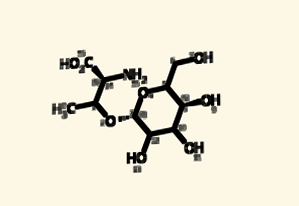 CC(O[C@@H]1OC(CO)[C@@H](O)C(O)C1O)[C@H](N)C(=O)O